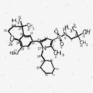 Cc1c(S(=O)(=O)NCC(C)(C)O)cc(-c2cc(C(C)(C)C)c3c(c2)C(C)(C)CCO3)n1CC1CCCCC1